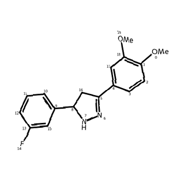 COc1ccc(C2=NNC(c3cccc(F)c3)C2)cc1OC